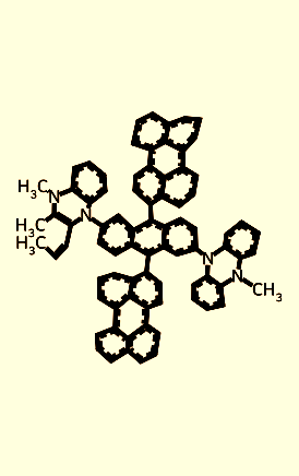 C/C=C\C1=C(C)N(C)c2ccccc2N1c1ccc2c(-c3ccc4c5cccc6cccc(c7cccc3c74)c65)c3cc(N4c5ccccc5N(C)c5ccccc54)ccc3c(-c3ccc4c5cccc6cccc(c7cccc3c74)c65)c2c1